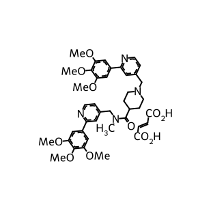 COc1cc(-c2cc(CN3CCC(C(=O)N(C)Cc4ccnc(-c5cc(OC)c(OC)c(OC)c5)c4)CC3)ccn2)cc(OC)c1OC.O=C(O)C=CC(=O)O